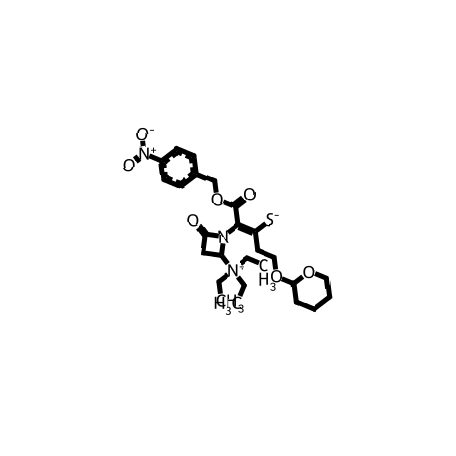 CC[N+](CC)(CC)C1CC(=O)N1C(C(=O)OCc1ccc([N+](=O)[O-])cc1)=C([S-])CCOC1CCCCO1